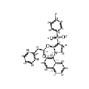 Cc1ccc(S(=O)(=O)c2ncn(-c3cccc4ccccc34)c2OC(=O)Cc2ccccc2)cc1